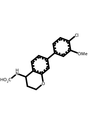 COc1cc(-c2ccc3c(c2)OCCC3NC(=O)O)ccc1Cl